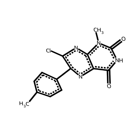 Cc1ccc(-c2nc3c(=O)[nH]c(=O)n(C)c3nc2Cl)cc1